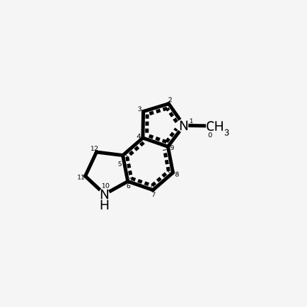 Cn1ccc2c3c(ccc21)NCC3